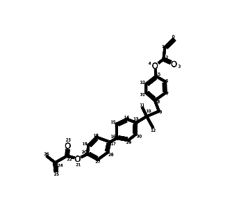 C=CC(=O)Oc1ccc(CC(C)(C)c2ccc(-c3ccc(OC(=O)C(=C)C)cc3)cc2)cc1